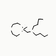 CCCCN(CCCC)C[Si]1(C)OCCOCCO1